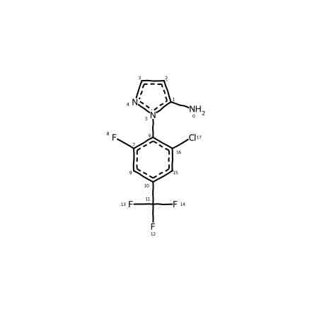 Nc1[c]cnn1-c1c(F)cc(C(F)(F)F)cc1Cl